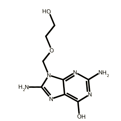 Nc1nc(O)c2nc(N)n(COCCO)c2n1